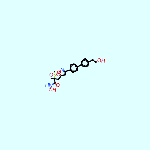 CC(CC1CC(c2ccc(-c3ccc(CCO)cc3)cc2)=NO1)(C(=O)NO)S(C)(=O)=O